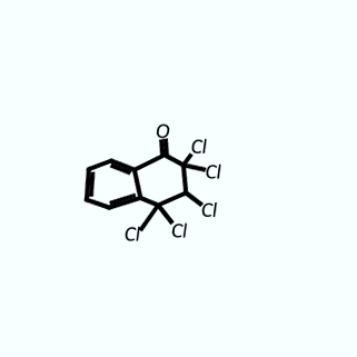 O=C1c2ccccc2C(Cl)(Cl)C(Cl)C1(Cl)Cl